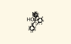 Cc1ccccc1C(O)(CCc1ccccc1)C1CN2CCC1CC2